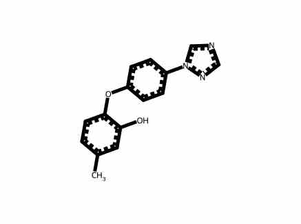 Cc1ccc(Oc2ccc(-n3cncn3)cc2)c(O)c1